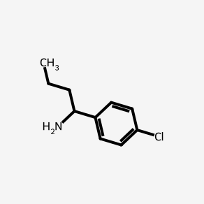 CCCC(N)c1ccc(Cl)cc1